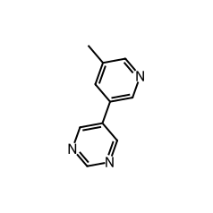 Cc1cncc(-c2cncnc2)c1